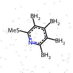 Bc1nc(SC)c(B)c(B)c1B